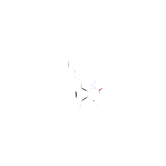 CC1(C)OC(=O)Nc2c(OCCCCCl)cccc21